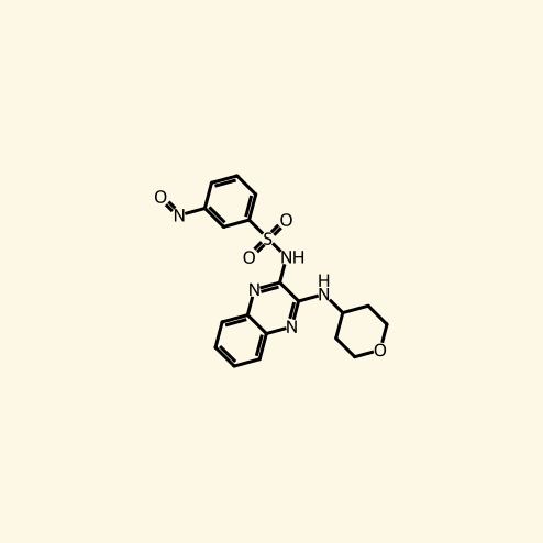 O=Nc1cccc(S(=O)(=O)Nc2nc3ccccc3nc2NC2CCOCC2)c1